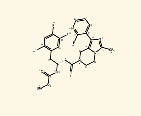 CC(C)(C)OC(=O)N[C@@H](CC(=O)N1CCn2c(C(F)(F)F)nc(-c3cccnc3F)c2C1)Cc1cc(F)c(F)cc1F